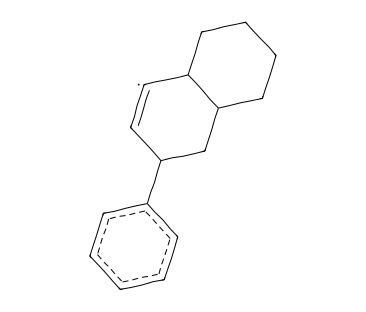 [C]1=CC(c2ccccc2)CC2CCCCC12